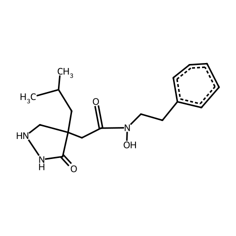 CC(C)CC1(CC(=O)N(O)CCc2ccccc2)CNNC1=O